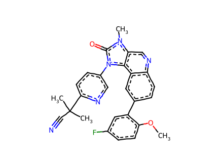 COc1ccc(F)cc1-c1ccc2ncc3c(c2c1)n(-c1ccc(C(C)(C)C#N)nc1)c(=O)n3C